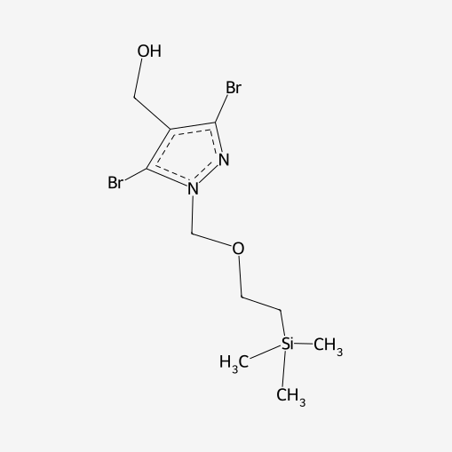 C[Si](C)(C)CCOCn1nc(Br)c(CO)c1Br